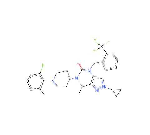 Cc1cccc(F)c1N1CCC(N2C(=O)N(Cc3ccccc3C(F)(F)F)c3cn(C4CC4)nc3C2C)CC1